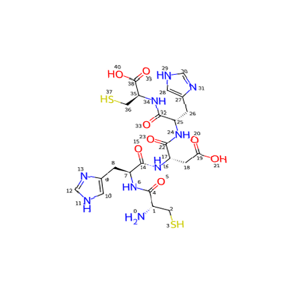 N[C@@H](CS)C(=O)N[C@@H](Cc1c[nH]cn1)C(=O)N[C@@H](CC(=O)O)C(=O)N[C@@H](Cc1c[nH]cn1)C(=O)N[C@@H](CS)C(=O)O